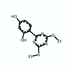 CCSc1nc(SCC)nc(-c2ccc(O)cc2O)n1